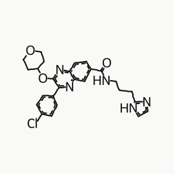 O=C(NCCCc1ncc[nH]1)c1ccc2nc(OC3CCOCC3)c(-c3ccc(Cl)cc3)nc2c1